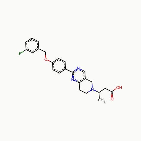 CC(CC(=O)O)N1CCc2nc(-c3ccc(OCc4cccc(F)c4)cc3)ncc2C1